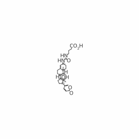 C[C@]12CC[C@H](NC(=O)NCCCC(=O)O)C=C1CC[C@@H]1[C@@H]2CC[C@]2(C)[C@@H](c3ccc(=O)oc3)CC[C@]12O